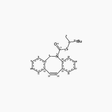 CC(SC(=O)N1Cc2ccccc2C#Cc2ccccc21)C(C)(C)C